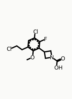 COc1c(CCCl)cc(Cl)c(F)c1C1CN(C(=O)O)C1